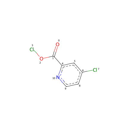 O=C(OCl)c1cc(Cl)ccn1